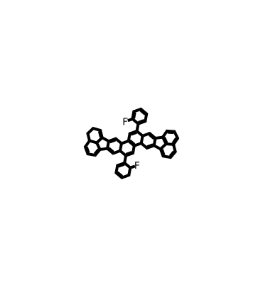 Fc1ccccc1C1=CC2=C(C=C(C3=CC=CCC3F)C3C=C4C(=CC23)C2=CCCC3C=CC=C4C23)C2C=C3C(=CC12)c1cccc2cccc3c12